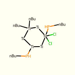 CCCC[PH][Ti]1[Ti][Ti]([CH2]CCC)([CH2]CCC)[Ti][Ti]([Cl])([Cl])([PH]CCCC)[Ti]1